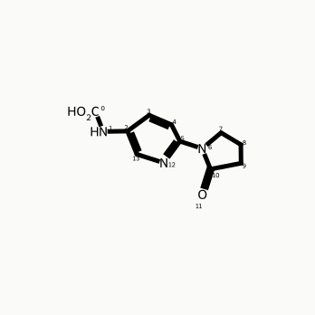 O=C(O)Nc1ccc(N2CCCC2=O)nc1